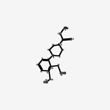 CC(C)(C)OC(=O)N1CCN(c2cccc(SO)c2CC=O)CC1